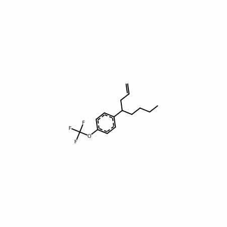 C=CCC(CCCC)c1ccc(OC(F)(F)F)cc1